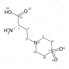 N[C@@H](CCN1CCS(=O)(=O)CC1)C(=O)O